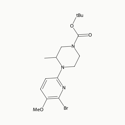 COc1ccc(N2CCN(C(=O)OC(C)(C)C)CC2C)nc1Br